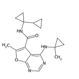 Cc1oc2ncnc(NC3(C)CC3)c2c1C(=O)NC1(C2CC2)CC1